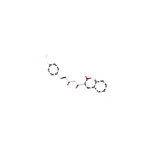 COc1ccc(/C=C/C(=O)CC(=O)c2cc3cc(Br)ccc3oc2=O)cc1